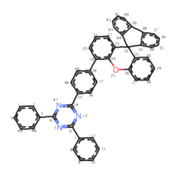 c1ccc(-c2nc(-c3ccccc3)nc(-c3ccc(-c4cccc5c4Oc4ccccc4C54c5ccccc5-c5ccccc54)cc3)n2)cc1